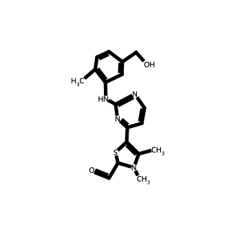 CC1=C(c2ccnc(Nc3cc(CO)ccc3C)n2)SC(C=O)N1C